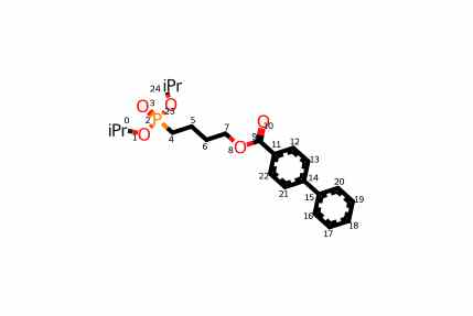 CC(C)OP(=O)(CCCCOC(=O)c1ccc(-c2ccccc2)cc1)OC(C)C